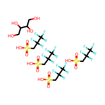 O=S(=O)(O)CC(F)(F)C(F)(F)F.O=S(=O)(O)CC(F)(F)C(F)(F)F.O=S(=O)(O)CC(F)(F)C(F)(F)F.O=S(=O)(O)CC(F)(F)C(F)(F)F.OCC(O)C(O)CO